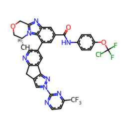 C[C@@H]1COCc2nc3cc(C(=O)Nc4ccc(OC(F)(F)Cl)cc4)cc(-c4cnc5c(c4)-c4nn(-c6nccc(C(F)(F)F)n6)cc4C5)c3n21